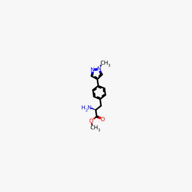 COC(=O)[C@@H](N)Cc1ccc(-c2cnn(C)c2)cc1